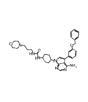 Nc1ncnc2c1c(-c1cccc(OCc3ccccc3)c1)cn2C1CCC(NC(=O)NCCCN2CCOCC2)CC1